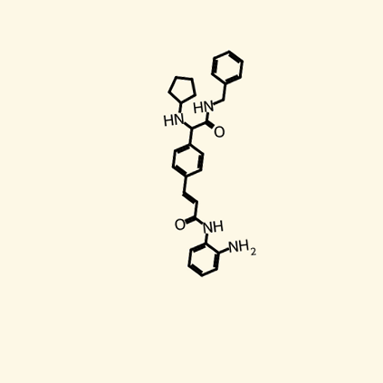 Nc1ccccc1NC(=O)C=Cc1ccc(C(NC2CCCC2)C(=O)NCc2ccccc2)cc1